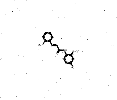 COc1ccccc1C=CC(=O)Nc1ccc(Cl)cc1C(=O)O